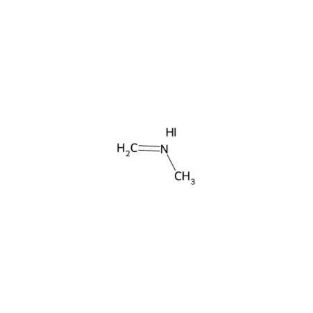 C=NC.I